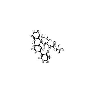 CC(C)(C)OC(=O)NC1=NC2(COC1)c1c[c]ccc1Oc1ccc(-c3cccnc3F)cc12